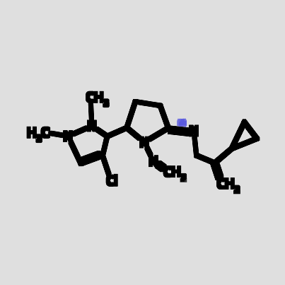 C=NN1/C(=N\CC(=C)C2CC2)CCC1C1C(Cl)=CN(C)N1C